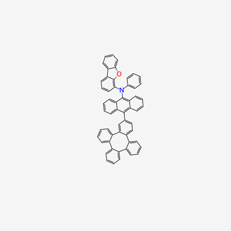 c1ccc(N(c2c3ccccc3c(-c3ccc4c(c3)-c3ccccc3-c3ccccc3-c3ccccc3-4)c3ccccc23)c2cccc3c2oc2ccccc23)cc1